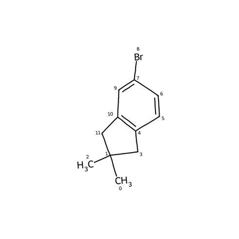 CC1(C)Cc2ccc(Br)cc2C1